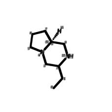 CCC1CN2CCC[C@H]2CN1